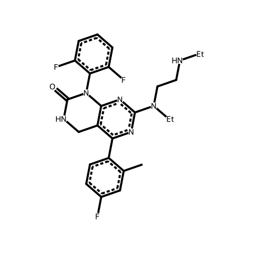 CCNCCN(CC)c1nc(-c2ccc(F)cc2C)c2c(n1)N(c1c(F)cccc1F)C(=O)NC2